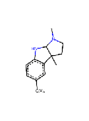 COc1ccc2c(c1)C1(C)CCN(C)C1N2